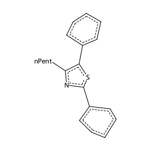 CCCCCc1nc(-c2ccccc2)sc1-c1ccccc1